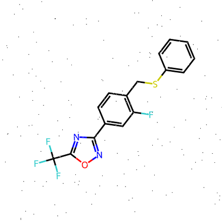 Fc1cc(-c2noc(C(F)(F)F)n2)ccc1CSc1ccccc1